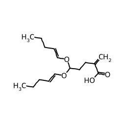 C=C(CCC(OC=CCCC)OC=CCCC)C(=O)O